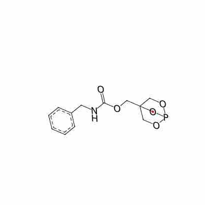 O=C(NCc1ccccc1)OCC12COP(OC1)OC2